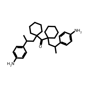 CC(CC1(C(=O)C2(CC(C)c3ccc(N)cc3)CCCCC2)CCCCC1)c1ccc(N)cc1